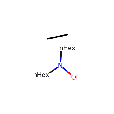 CC.CCCCCCN(O)CCCCCC